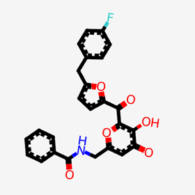 O=C(NCc1cc(=O)c(O)c(C(=O)c2ccc(Cc3ccc(F)cc3)o2)o1)c1ccccc1